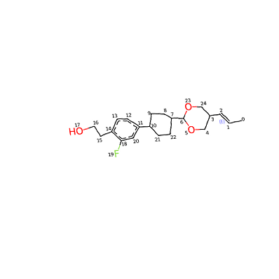 C/C=C/C1COC(C2CCC(c3ccc(CCO)c(F)c3)CC2)OC1